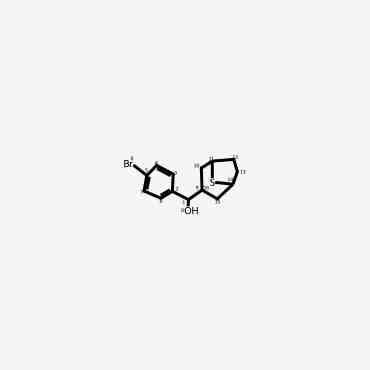 OC(c1ccc(Br)cc1)C1CC2CCC(C1)S2